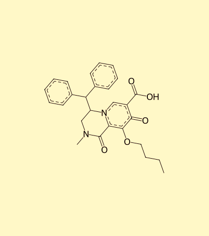 CCCCOc1c2n(cc(C(=O)O)c1=O)C(C(c1ccccc1)c1ccccc1)CN(C)C2=O